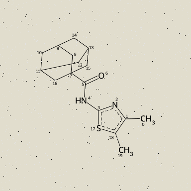 Cc1nc(NC(=O)C23CC4CC(CC(C4)C2)C3)sc1C